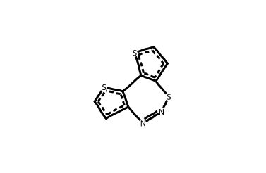 c1cc2c(s1)-c1sccc1SN=N2